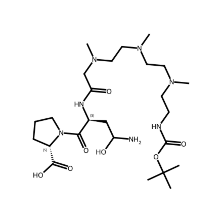 CN(CCNC(=O)OC(C)(C)C)CCN(C)CCN(C)CC(=O)N[C@@H](CC(N)O)C(=O)N1CCC[C@H]1C(=O)O